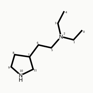 CCN(CC)CCC1CCNC1